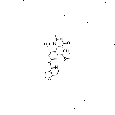 Cc1c(-c2ccc(Oc3nccc4occc34)cc2CSF)n(C)c(=O)[nH]c1=O